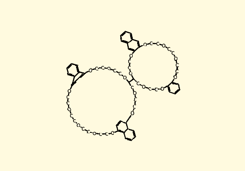 C1=CC2=C3C=CC(OCCOCC(C4COCCOc5ccccc5OCCOCCOCCOc5cc6ccccc6cc5OCCO4)OCCOCCOc4ccc(c5ccccc45)OCCOCCOCCOCCO3)C2C=C1